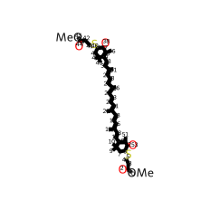 COC(=O)CCSC1CC(C)(C)C(/C=C/C(C)=C/C=C/C(C)=C/C=C/C=C(C)/C=C/C=C(C)/C=C/C2=C(C)C(=O)C(SCCC(=O)OC)CC2(C)C)=C(C)C1=O